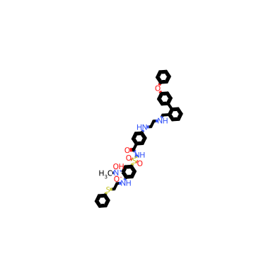 C[N+]([O-])(O)c1cc(S(=O)(=O)NC(=O)c2ccc(NCCNCc3ccccc3-c3ccc(Oc4ccccc4)cc3)cc2)ccc1NCCSc1ccccc1